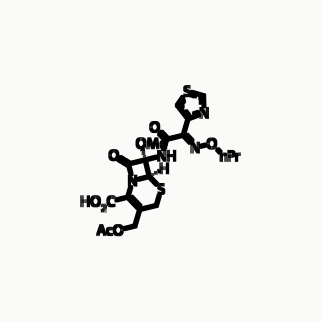 CCCON=C(C(=O)N[C@]1(OC)C(=O)N2C(C(=O)O)=C(COC(C)=O)CS[C@@H]21)c1cscn1